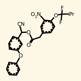 CC(C)C(F)(F)Oc1ccc(CC(=O)OC(C#N)c2cccc(Oc3ccccc3)c2)cc1[N+](=O)[O-]